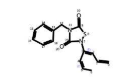 C=C/C=C(\C=C/C)n1sc(=O)n(Cc2ccccc2)c1=O